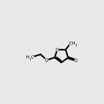 CCOC1=CC(=O)C(C)O1